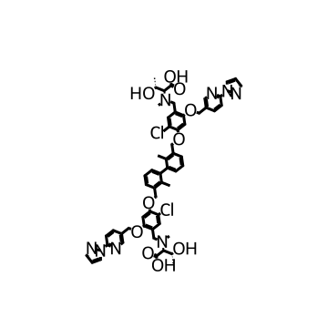 Cc1c(COc2cc(OCc3ccc(-n4cccn4)nc3)c(CN(C)[C@H](C(=O)O)[C@@H](C)O)cc2Cl)cccc1-c1cccc(COc2cc(OCc3ccc(-n4cccn4)nc3)c(CN(C)[C@H](C(=O)O)[C@@H](C)O)cc2Cl)c1C